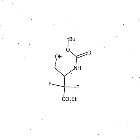 CCOC(=O)C(F)(F)C(CO)NC(=O)OC(C)(C)C